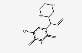 Cc1cn(C(C=O)C2CNCCN2)c(=O)[nH]c1=O